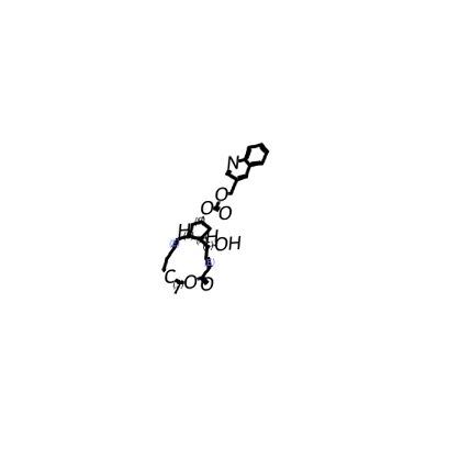 C[C@H]1CCC/C=C/[C@@H]2C[C@H](OC(=O)OCc3cnc4ccccc4c3)C[C@H]2[C@H](O)/C=C/C(=O)O1